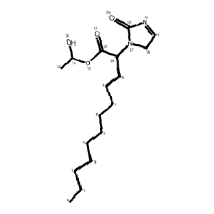 CCCCCCCCCCC(C(=O)OC(C)O)N1CC=NC1=O